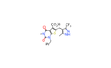 Cc1[nH]nc(C(F)(F)F)c1Cc1sc2c(c1C(=O)O)c(=O)n(C)c(=O)n2CC(C)C